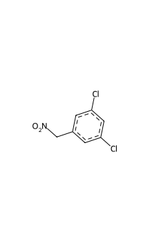 O=[N+]([O-])Cc1cc(Cl)cc(Cl)c1